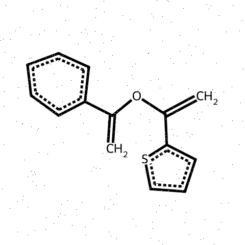 C=C(OC(=C)c1cccs1)c1ccccc1